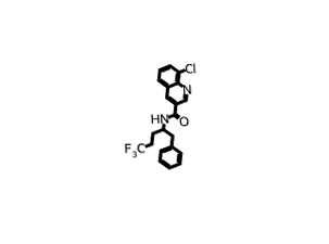 O=C(NC(CCC(F)(F)F)Cc1ccccc1)c1cnc2c(Cl)cccc2c1